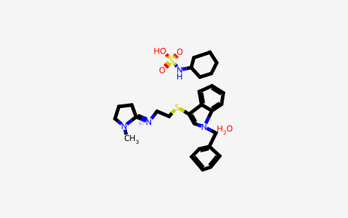 CN1CCC/C1=N\CCSc1cn(Cc2ccccc2)c2ccccc12.O.O=S(=O)(O)NC1CCCCC1